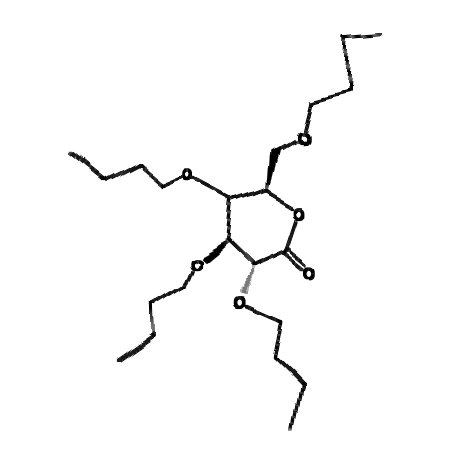 CCCCOC[C@H]1OC(=O)[C@H](OCCCC)[C@@H](OCCCC)C1OCCCC